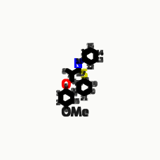 COc1ccc(O/C=C(C)/C(=N/c2ccccc2)Sc2ccccc2)cc1